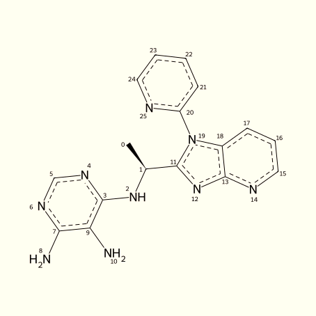 C[C@H](Nc1ncnc(N)c1N)c1nc2ncccc2n1-c1ccccn1